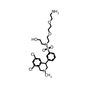 CN1Cc2c(Cl)cc(Cl)cc2C(c2cccc(S(=O)(=O)N(CCO)CCOCCOCCN)c2)C1